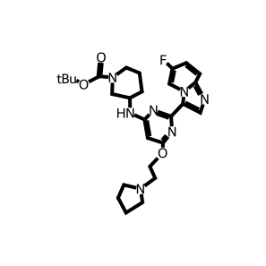 CC(C)(C)OC(=O)N1CCCC(Nc2cc(OCCN3CCCC3)nc(-c3cnc4ccc(F)cn34)n2)C1